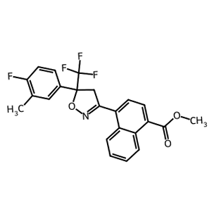 COC(=O)c1ccc(C2=NOC(c3ccc(F)c(C)c3)(C(F)(F)F)C2)c2ccccc12